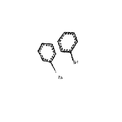 Ic1ccccc1.Sc1ccccc1.[Zn]